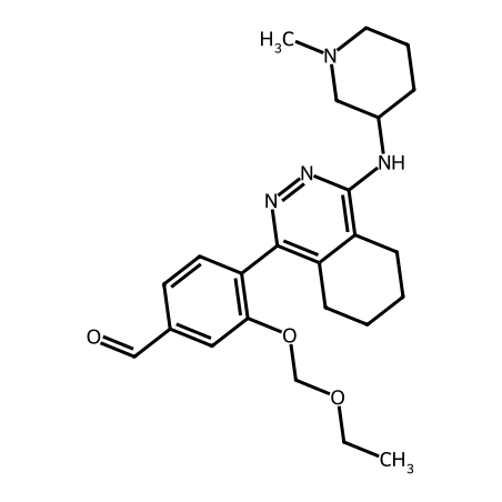 CCOCOc1cc(C=O)ccc1-c1nnc(NC2CCCN(C)C2)c2c1CCCC2